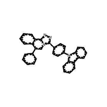 c1ccc(-c2cn3c(-c4ccc(-n5c6ccccc6c6ccccc65)cc4)nnc3c3ccccc23)cc1